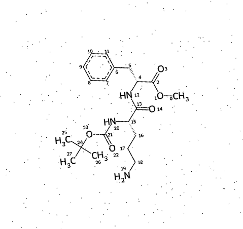 COC(=O)[C@@H](Cc1ccccc1)NC(=O)[C@H](CCCN)NC(=O)OC(C)(C)C